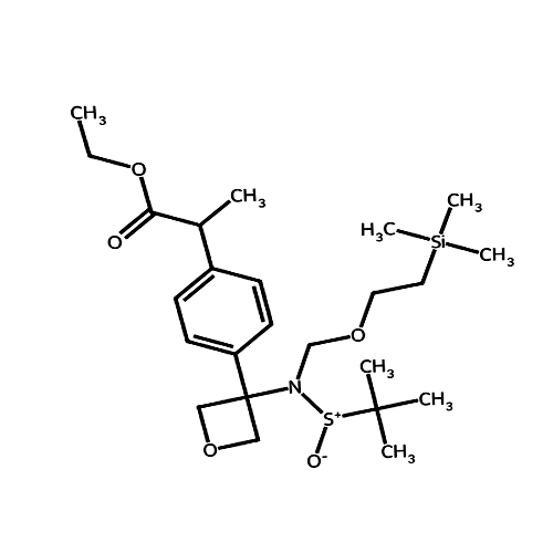 CCOC(=O)C(C)c1ccc(C2(N(COCC[Si](C)(C)C)[S+]([O-])C(C)(C)C)COC2)cc1